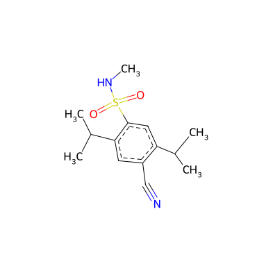 CNS(=O)(=O)c1cc(C(C)C)c(C#N)cc1C(C)C